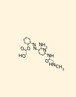 CNCC(=O)Nc1ccc(/N=N/c2ccccc2OC(=O)CO)c(N)n1